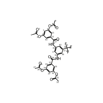 CC(=O)Oc1cc(OC(C)=O)cc(C(=O)Nc2cc(NC(=O)c3cc(OC(C)=O)cc(OC(C)=O)c3)cc(C(F)(F)F)c2)c1